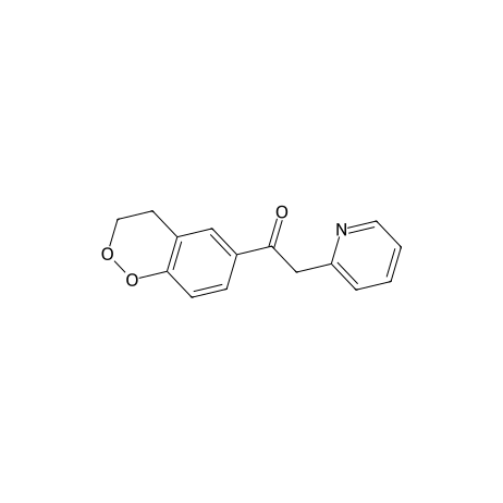 O=C(Cc1ccccn1)c1ccc2c(c1)CCOO2